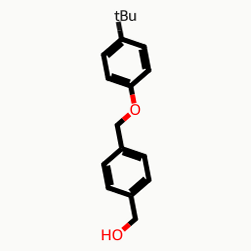 CC(C)(C)c1ccc(OCc2ccc(CO)cc2)cc1